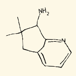 CC1(C)Cc2cccnc2C1N